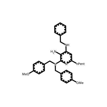 CCCCCc1cc(NCc2ccccc2)c(N)c(N(Cc2ccc(OC)cc2)Cc2ccc(OC)cc2)n1